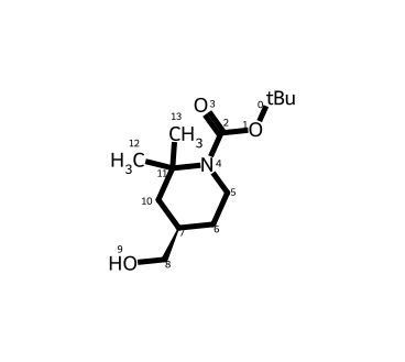 CC(C)(C)OC(=O)N1CC[C@@H](CO)CC1(C)C